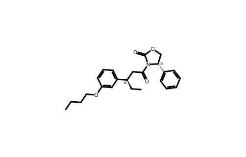 CCCCOc1cccc([C@H](CC)CC(=O)N2C(=O)OC[C@@H]2c2ccccc2)c1